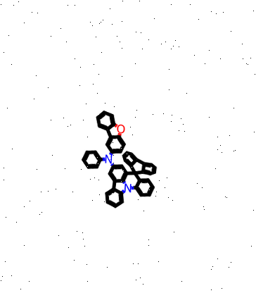 c1ccc(N(c2ccc3oc4ccccc4c3c2)c2cc3c4c(c2)c2ccccc2n4-c2ccccc2C32c3ccccc3-c3ccccc32)cc1